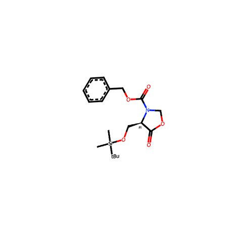 CC(C)(C)[Si](C)(C)OC[C@@H]1C(=O)OCN1C(=O)OCc1ccccc1